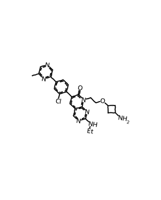 CCNc1ncc2cc(-c3ccc(-c4cncc(C)n4)cc3Cl)c(=O)n(CCOC3CC(N)C3)c2n1